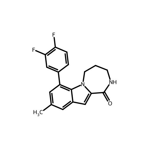 Cc1cc(-c2ccc(F)c(F)c2)c2c(c1)cc1n2CCCNC1=O